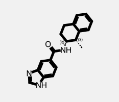 C[C@H]1c2ccccc2CC[C@H]1NC(=O)c1ccc2[nH]cnc2c1